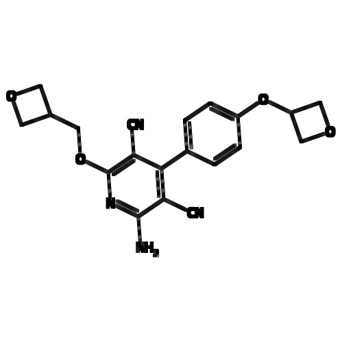 N#Cc1c(N)nc(OCC2COC2)c(C#N)c1-c1ccc(OC2COC2)cc1